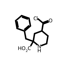 O=C(Cl)C1CCNC(Cc2ccccc2)(C(=O)O)C1